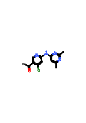 CCC(=O)c1cnc(Nc2cc(C)nc(C)n2)cc1Cl